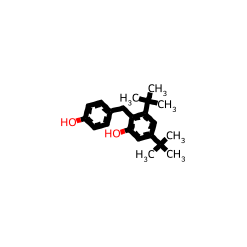 CC(C)(C)c1cc(O)c(Cc2ccc(O)cc2)c(C(C)(C)C)c1